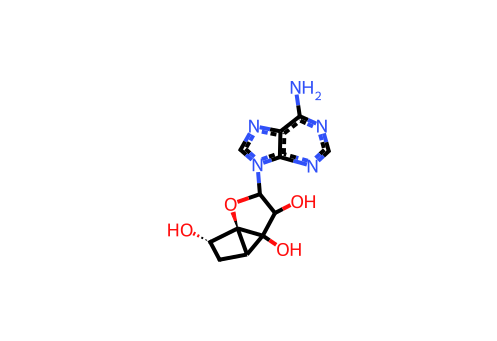 Nc1ncnc2c1ncn2C1O[C@@]23C(C[C@@H]2O)C3(O)C1O